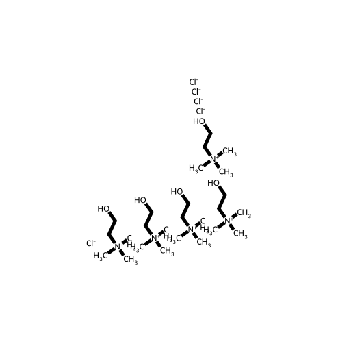 C[N+](C)(C)CCO.C[N+](C)(C)CCO.C[N+](C)(C)CCO.C[N+](C)(C)CCO.C[N+](C)(C)CCO.[Cl-].[Cl-].[Cl-].[Cl-].[Cl-]